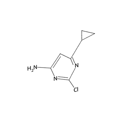 Nc1cc(C2CC2)nc(Cl)n1